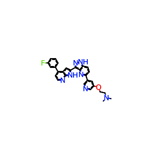 CN(C)CCOc1cncc(-c2ccc3[nH]nc(-c4cc5c(-c6cccc(F)c6)ccnc5[nH]4)c3n2)c1